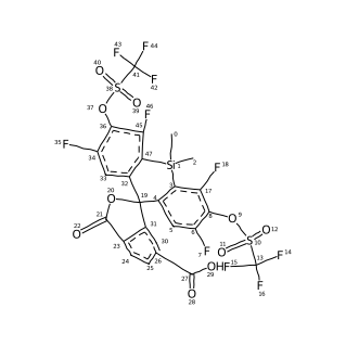 C[Si]1(C)c2c(cc(F)c(OS(=O)(=O)C(F)(F)F)c2F)C2(OC(=O)c3ccc(C(=O)O)cc32)c2cc(F)c(OS(=O)(=O)C(F)(F)F)c(F)c21